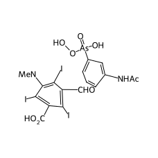 CC(=O)Nc1cccc([As](=O)(O)OO)c1.CNc1c(I)c(C=O)c(I)c(C(=O)O)c1I